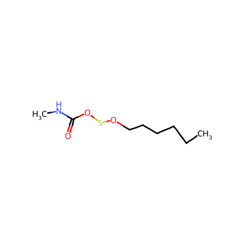 CCCCCCOSOC(=O)NC